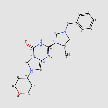 C[C@H]1CN(Cc2ccccc2)C[C@@H]1C1=NC2=CN(C3CCOCC3)CN2C(=O)N1